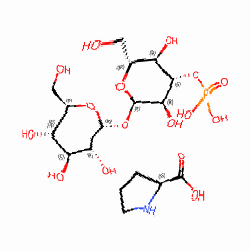 O=C(O)[C@@H]1CCCN1.O=P(O)(O)O[C@@H]1[C@@H](O)[C@@H](O[C@H]2O[C@H](CO)[C@@H](O)[C@H](O)[C@H]2O)O[C@H](CO)[C@H]1O